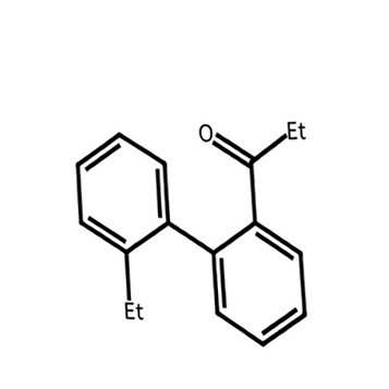 CCC(=O)c1ccccc1-c1ccccc1CC